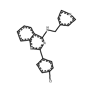 Clc1ccc(-c2nc(NCc3ccncc3)c3ccccc3n2)cc1